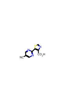 N#Cc1cnc(-c2scnc2C(=O)O)nc1